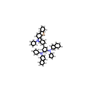 c1ccc(N(c2cc(-c3ccc4c5c6sc7ccccc7c6ccc5n(-c5ccccc5)c4c3)cc(N(c3ccccc3)c3ccc4ccccc4c3)c2)c2ccc3ccccc3c2)cc1